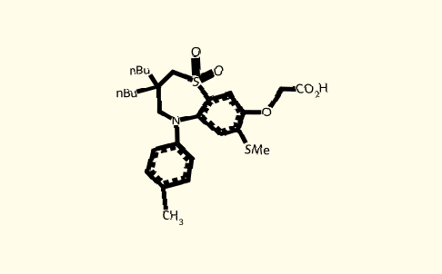 CCCCC1(CCCC)CN(c2ccc(C)cc2)c2cc(SC)c(OCC(=O)O)cc2S(=O)(=O)C1